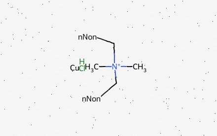 CCCCCCCCCC[N+](C)(C)CCCCCCCCCC.Cl.[Cu]